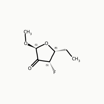 CC[C@H]1O[C@H](OC)C(=O)[C@H]1F